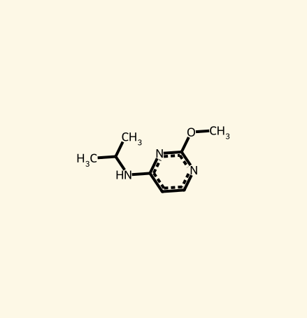 COc1nccc(NC(C)C)n1